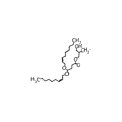 [CH2]C(CO)COC(=O)CCC(OC/C=C\CCCCCC)OC/C=C\CCCCCC